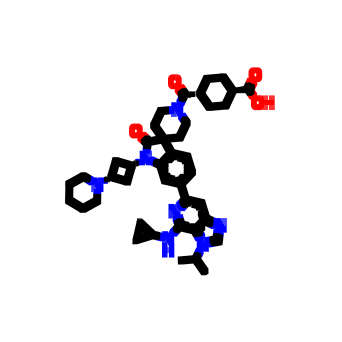 CC(C)n1cnc2cc(-c3ccc4c(c3)N([C@H]3C[C@@H](N5CCCCC5)C3)C(=O)C43CCN(C(=O)[C@H]4CC[C@H](C(=O)O)CC4)CC3)nc(NC3CC3)c21